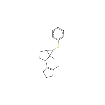 CC1=C(C2CCC3C(Sc4ccccc4)C23C)CCC1